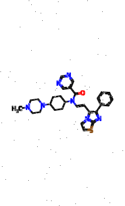 CN1CCN(C2CCC(N(/C=C/c3c(-c4ccccc4)nc4sccn34)C(=O)c3cncnc3)CC2)CC1